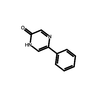 O=c1cnc(-c2ccccc2)c[nH]1